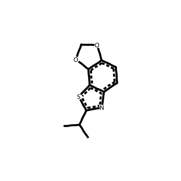 CC(C)c1nc2ccc3c(c2s1)OCO3